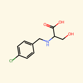 O=C(O)C(CO)NCc1ccc(Cl)cc1